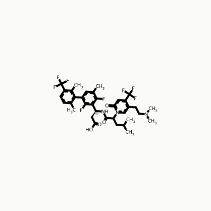 Cc1cc(-c2c(C)ccc(C(F)(F)F)c2C)c(F)c([C@H](CC(=O)O)NC(=O)C(CC(C)C)n2cc(CCN(C)C)c(C(F)(F)F)cc2=O)c1F